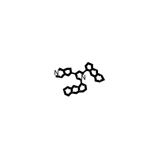 c1ccc2cc3c(-c4cc(-c5ccc6cnccc6c5)cc(-c5cccc6cc7ccccc7cc56)n4)cccc3cc2c1